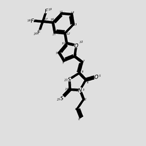 C=CCN1C(=O)C(=Cc2ccc(-c3cccc(C(F)(F)F)c3)o2)SC1=S